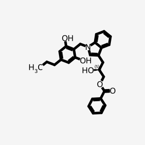 CCCc1cc(O)c(Cn2cc(C[C@H](O)COC(=O)c3ccccc3)c3ccccc32)c(O)c1